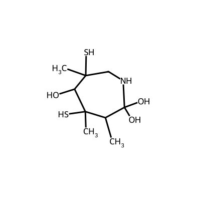 CC1C(O)(O)NCC(C)(S)C(O)C1(C)S